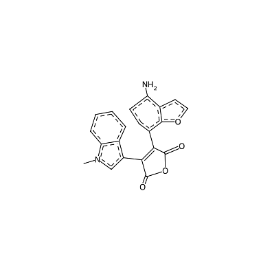 Cn1cc(C2=C(c3ccc(N)c4ccoc34)C(=O)OC2=O)c2ccccc21